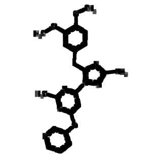 COc1ccc(Cc2nc(N)nn2-c2cc(Oc3cccnc3)nc(C)n2)cc1OC